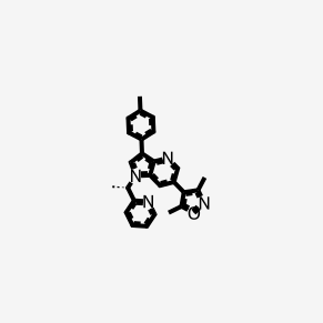 Cc1ccc(-c2cn([C@@H](C)c3ccccn3)c3cc(-c4c(C)noc4C)cnc23)cc1